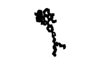 CCCCN(CCCC)CCCOc1ccc(C(=O)c2c(CC)n(C)c3cccc(NS(C)(=O)=O)c23)cc1